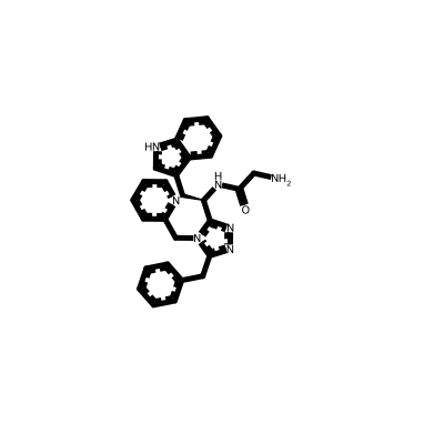 NCC(=O)N[C@H](Cc1c[nH]c2ccccc12)c1nnc(Cc2ccccc2)n1Cc1ccccn1